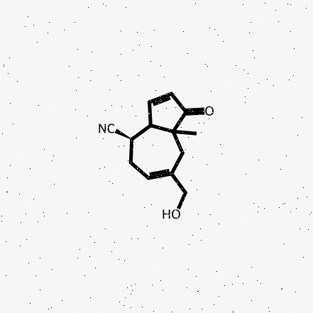 CC12CC(CO)=CC[C@@H](C#N)C1C=CC2=O